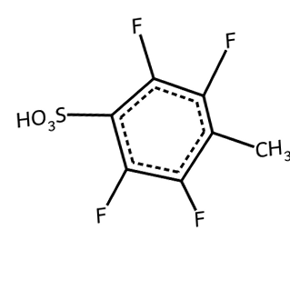 Cc1c(F)c(F)c(S(=O)(=O)O)c(F)c1F